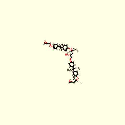 CC(C)(CC(O)COc1ccc(C(C)(C)c2ccc(OC(C)(C)CC3CO3)cc2)cc1)Oc1ccc(C(C)(C)c2ccc(OCC3CO3)cc2)cc1